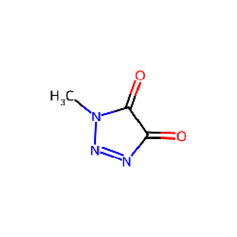 CN1N=NC(=O)C1=O